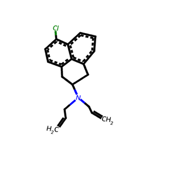 C=CCN(CC=C)C1Cc2cccc3c(Cl)ccc(c23)C1